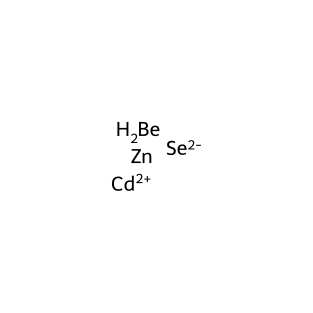 [BeH2].[Cd+2].[Se-2].[Zn]